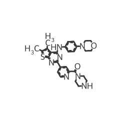 Cc1sc2nc(-c3ccnc(C(=O)N4CCNCC4)c3)nc(Nc3ccc(N4CCOCC4)cc3)c2c1C